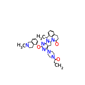 C=CC(=O)N1CCN(c2nc(Oc3cccc4c3CCN(C)C4)nc3c2CC2N4C(=O)CCc5cccc(c54)C(C)N32)CC1